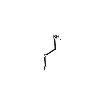 BCSF